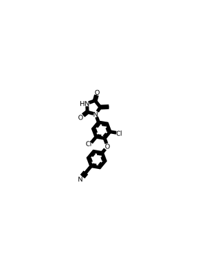 C=C1C(=O)NC(=O)N1c1cc(Cl)c(Oc2ccc(C#N)cc2)c(Cl)c1